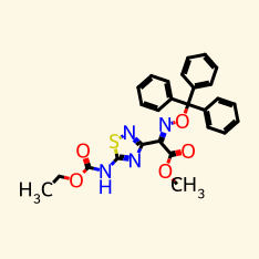 CCOC(=O)Nc1nc(/C(=N/OC(c2ccccc2)(c2ccccc2)c2ccccc2)C(=O)OC)ns1